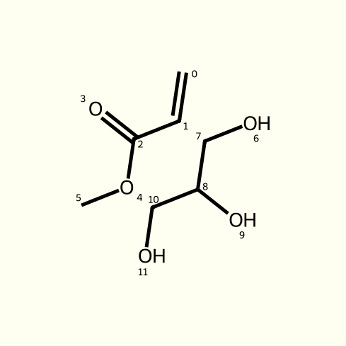 C=CC(=O)OC.OCC(O)CO